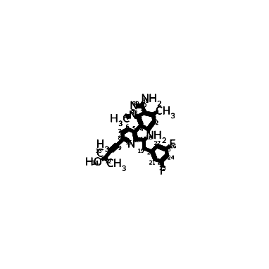 Cc1ccc(-c2ccc(C#CC(C)(C)O)nc2C(N)Cc2cc(F)cc(F)c2)c2c1c(N)nn2C